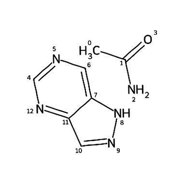 CC(N)=O.c1ncc2[nH]ncc2n1